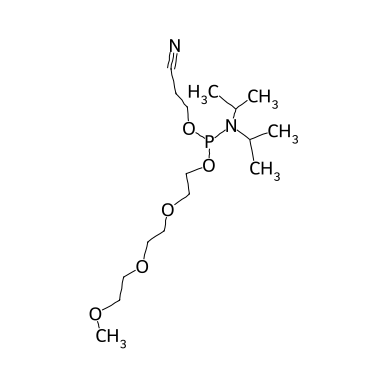 COCCOCCOCCOP(OCCC#N)N(C(C)C)C(C)C